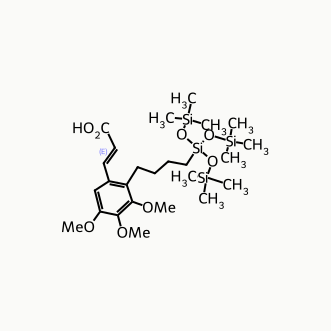 COc1cc(/C=C/C(=O)O)c(CCCC[Si](O[Si](C)(C)C)(O[Si](C)(C)C)O[Si](C)(C)C)c(OC)c1OC